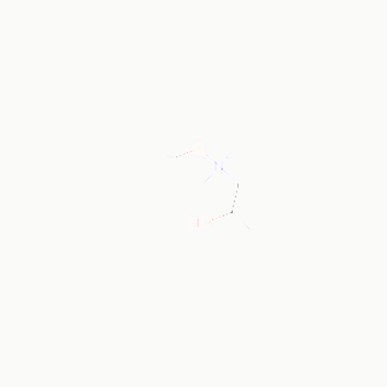 CC(O)C[N+](C)(C)OC(C)C